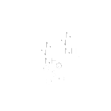 N[n+]1ccccn1.N[n+]1ccccn1.O=S(=O)([O-])[O-]